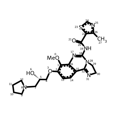 COc1c(OC[C@@H](O)CN2CCCC2)ccc2c1N=C(NC(=O)c1scnc1C)N1CCN=C21